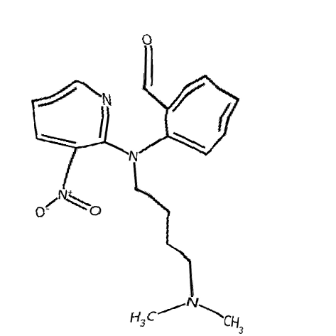 CN(C)CCCCN(c1ccccc1C=O)c1ncccc1[N+](=O)[O-]